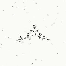 Cl.O.O.O.O.O.O.O.[Y]